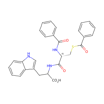 O=C(N[C@H](CSC(=O)c1ccccc1)C(=O)NC(Cc1c[nH]c2ccccc12)C(=O)O)c1ccccc1